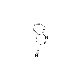 N#CC1C=Nc2ccccc2C1